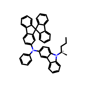 CCC[C@@H](C)n1c2ccccc2c2cc(N(c3ccccc3)c3ccc4c(c3)C3(c5ccccc5-c5ccccc53)c3ccccc3-4)ccc21